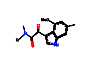 CCN(C)C(=O)C(=O)c1c[nH]c2cc(C)cc(OC)c12